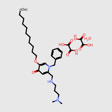 CCCCCCCCCCCCCCCCCCCCOc1cn(Cc2ccccc2)c(CNCCCN(C)C)cc1=O.O.O=C(O)C(=O)O.O=C(O)C(=O)O